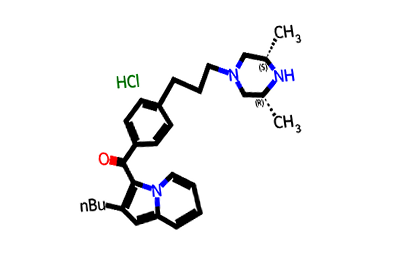 CCCCc1cc2ccccn2c1C(=O)c1ccc(CCCN2C[C@@H](C)N[C@@H](C)C2)cc1.Cl